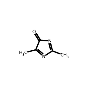 CC1=NC(=O)C(C)=N1